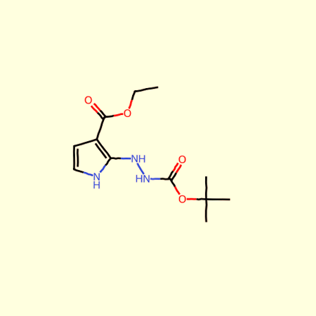 CCOC(=O)c1cc[nH]c1NNC(=O)OC(C)(C)C